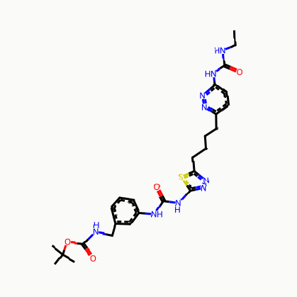 CCNC(=O)Nc1ccc(CCCCc2nnc(NC(=O)Nc3cccc(CNC(=O)OC(C)(C)C)c3)s2)nn1